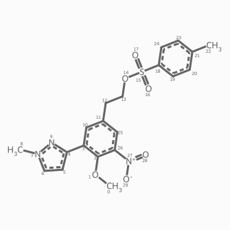 COc1c(-c2ccn(C)n2)cc(CCOS(=O)(=O)c2ccc(C)cc2)cc1[N+](=O)[O-]